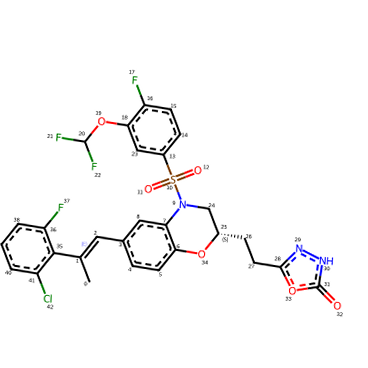 C/C(=C\c1ccc2c(c1)N(S(=O)(=O)c1ccc(F)c(OC(F)F)c1)C[C@H](CCc1n[nH]c(=O)o1)O2)c1c(F)cccc1Cl